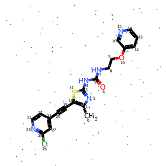 Cc1nc(NC(=O)NCCOc2cccnc2)sc1C#Cc1ccnc(Cl)c1